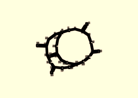 O=C1CCC(=O)CCN2CCC(=O)CCC(=O)CCN(CC1)CCC(=O)CC2